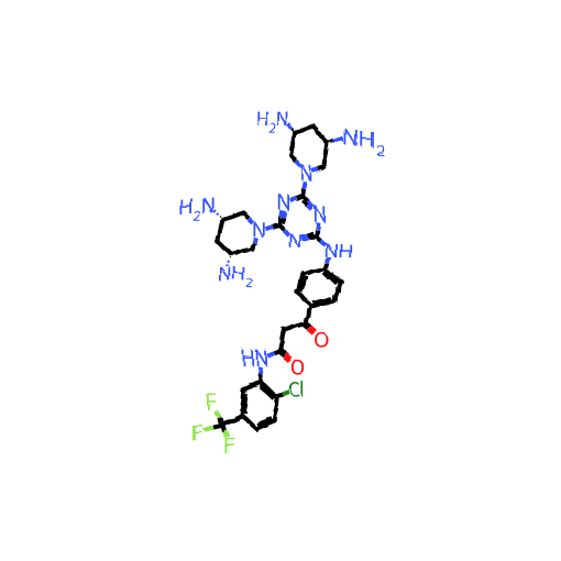 N[C@@H]1C[C@H](N)CN(c2nc(Nc3ccc(C(=O)CC(=O)Nc4cc(C(F)(F)F)ccc4Cl)cc3)nc(N3C[C@H](N)C[C@H](N)C3)n2)C1